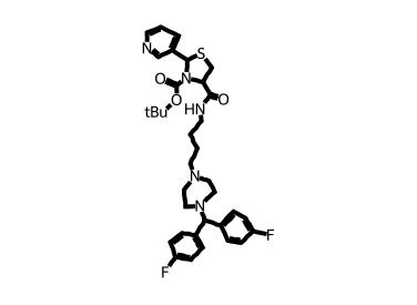 CC(C)(C)OC(=O)N1C(C(=O)NCCCCN2CCN(C(c3ccc(F)cc3)c3ccc(F)cc3)CC2)CSC1c1cccnc1